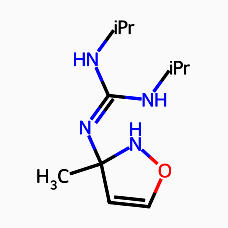 CC(C)NC(=NC1(C)C=CON1)NC(C)C